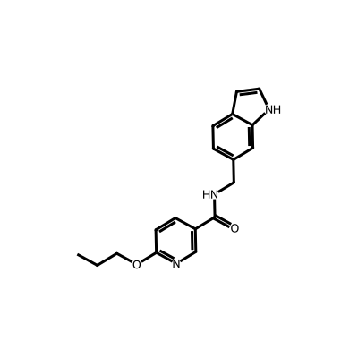 CCCOc1ccc(C(=O)NCc2ccc3cc[nH]c3c2)cn1